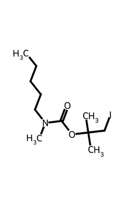 CCCCCN(C)C(=O)OC(C)(C)CI